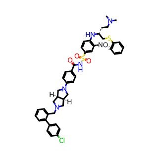 CN(C)CC[C@H](CSc1ccccc1)Nc1ccc(S(=O)(=O)NC(=O)c2ccc(N3C[C@H]4CN(Cc5ccccc5-c5ccc(Cl)cc5)C[C@H]4C3)cc2)cc1[N+](=O)[O-]